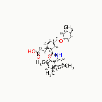 Cc1cccc(OCc2ccc(CCC(=O)O)c(C(=O)NC(CC(C)C)c3cc(C)cc(C)c3)c2)c1